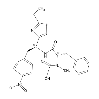 CCc1nc([C@H](Cc2ccc([N+](=O)[O-])cc2)NC(=O)[C@H](Cc2ccccc2)N(C)C(=O)O)cs1